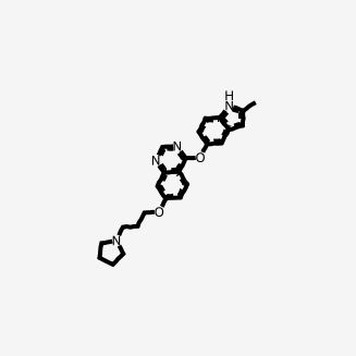 Cc1cc2cc(Oc3ncnc4cc(OCCCN5CCCC5)ccc34)ccc2[nH]1